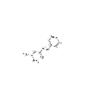 CC(N)OC(=O)/C=C/c1ccccc1